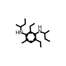 CCc1cc(C)c(NC(C)CC)c(CC)c1NC(C)CC